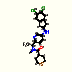 CN(C(=O)C1CCSCC1)[C@@H](c1ccc(NC2Cc3cc(Cl)c(Cl)cc3C2)cn1)C(F)(F)F